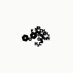 C=CC(=O)N(CCC)N(C)NC(=C)/C(=N\CC)c1ccc(Oc2ccccc2)cc1F